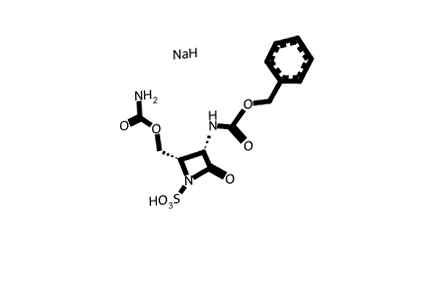 NC(=O)OC[C@@H]1[C@H](NC(=O)OCc2ccccc2)C(=O)N1S(=O)(=O)O.[NaH]